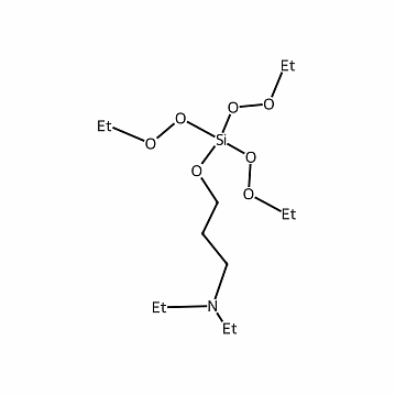 CCOO[Si](OCCCN(CC)CC)(OOCC)OOCC